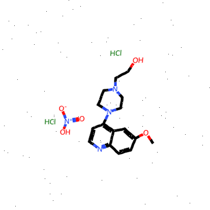 COc1ccc2nccc(N3CCN(CCO)CC3)c2c1.Cl.Cl.O=[N+]([O-])O